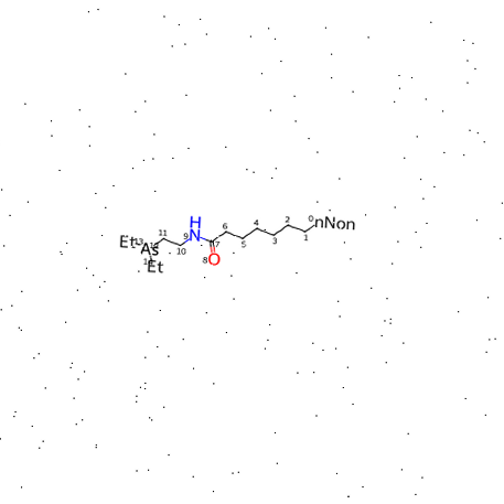 CCCCCCCCCCCCCCCC(=O)NCC[As](CC)CC